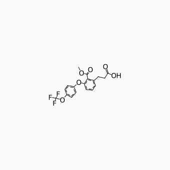 COC(=O)c1c(CCC(=O)O)cccc1Oc1ccc(OC(F)(F)F)cc1